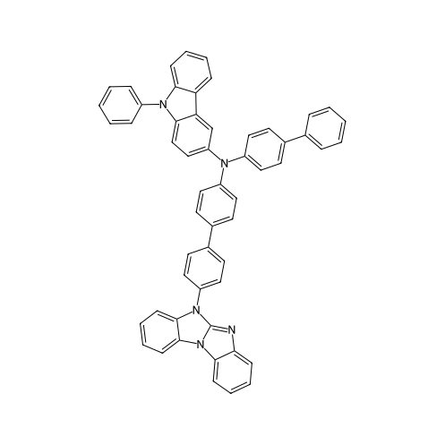 c1ccc(-c2ccc(N(c3ccc(-c4ccc(-n5c6ccccc6n6c7ccccc7nc56)cc4)cc3)c3ccc4c(c3)c3ccccc3n4-c3ccccc3)cc2)cc1